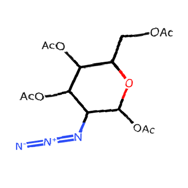 CC(=O)OCC1OC(OC(C)=O)C(N=[N+]=[N-])C(OC(C)=O)C1OC(C)=O